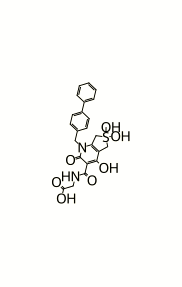 O=C(O)CNC(=O)c1c(O)c2c(n(Cc3ccc(-c4ccccc4)cc3)c1=O)CS(O)(O)C2